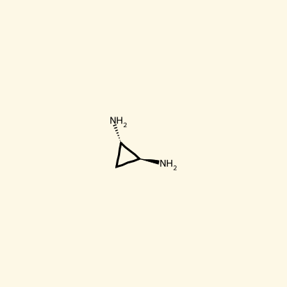 N[C@H]1C[C@@H]1N